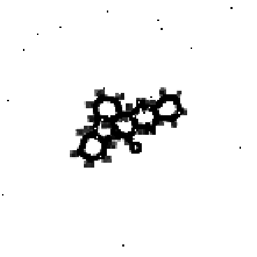 O=c1c2nc3ccccc3nc2c2cccc3c4ccccc4n1c32